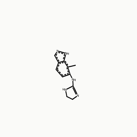 Cc1c(NC2=NCCN2)ccc2cn[nH]c12